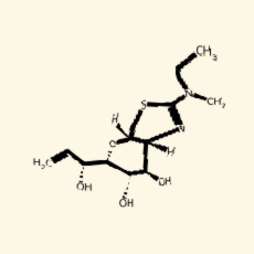 C=C[C@@H](O)[C@@H]1O[C@@H]2SC(N(C)CC)=N[C@@H]2[C@@H](O)[C@@H]1O